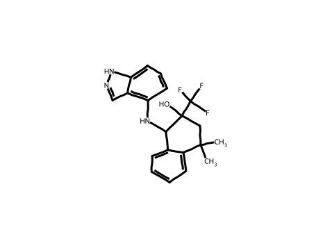 CC1(C)CC(O)(C(F)(F)F)C(Nc2cccc3[nH]ncc23)c2ccccc21